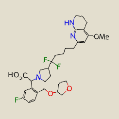 COc1cc(CCCCC(F)(F)C2CCN(C(C(=O)O)c3cc(F)ccc3CO[C@H]3CCOC3)C2)nc2c1CCCN2